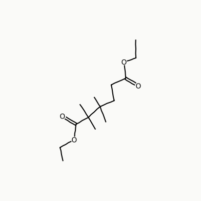 CCOC(=O)CCC(C)(C)C(C)(C)C(=O)OCC